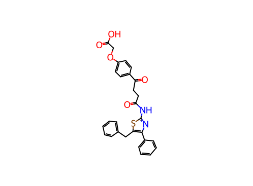 O=C(O)COc1ccc(C(=O)CCC(=O)Nc2nc(-c3ccccc3)c(Cc3ccccc3)s2)cc1